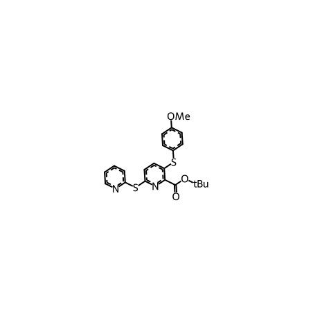 COc1ccc(Sc2ccc(Sc3ccccn3)nc2C(=O)OC(C)(C)C)cc1